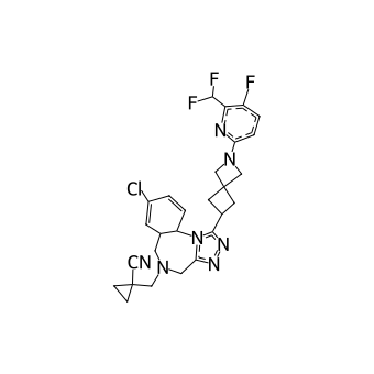 N#CC1(CN2Cc3nnc(C4CC5(C4)CN(c4ccc(F)c(C(F)F)n4)C5)n3C3C=CC(Cl)=CC3C2)CC1